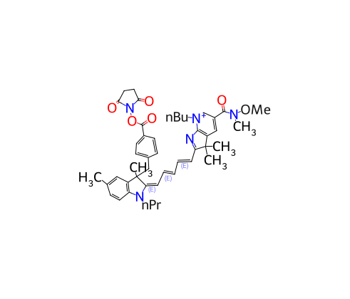 CCCC[n+]1cc(C(=O)N(C)OC)cc2c1N=C(/C=C/C=C/C=C1/N(CCC)c3ccc(C)cc3C1(C)Cc1ccc(C(=O)ON3C(=O)CCC3=O)cc1)C2(C)C